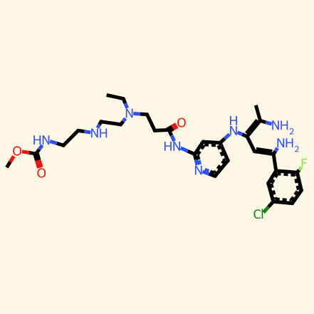 CCN(CCNCCNC(=O)OC)CCC(=O)Nc1cc(NC(/C=C(\N)c2cc(Cl)ccc2F)=C(\C)N)ccn1